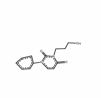 O=c1ccn(-c2ccccc2)c(=O)n1CCCO